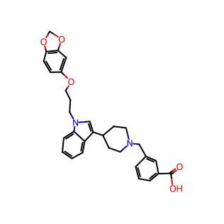 O=C(O)c1cccc(CN2CCC(c3cn(CCCOc4ccc5c(c4)OCO5)c4ccccc34)CC2)c1